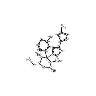 CO[C@H]1[C@@H](S)O[C@H](CO)[C@H](O)C1(c1cc(Br)ccc1C#N)n1cc(-c2nc(C)cs2)nn1